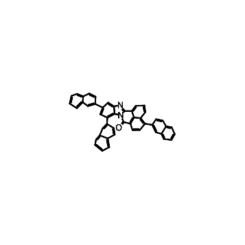 O=c1c2ccc(-c3ccc4ccccc4c3)c3cccc(c32)c2nc3cc(-c4ccc5ccccc5c4)cc(-c4ccc5ccccc5c4)c3n12